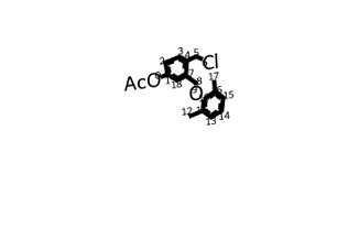 CC(=O)Oc1ccc(CCl)c(COc2c(C)cccc2C)c1